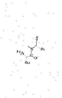 C#C[C@H](C(C)C)N(C)[S+]([O-])[C@@H](N)[C@@H](C)CC